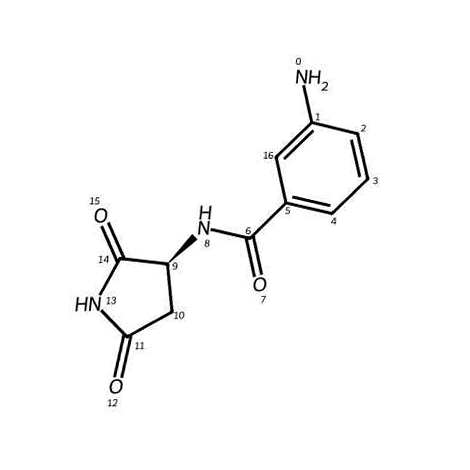 Nc1cccc(C(=O)N[C@H]2CC(=O)NC2=O)c1